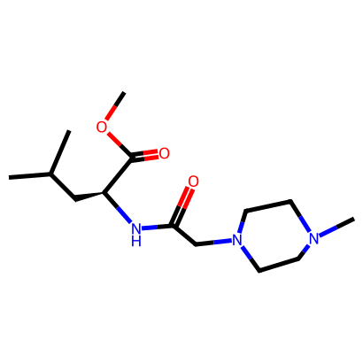 COC(=O)[C@H](CC(C)C)NC(=O)CN1CCN(C)CC1